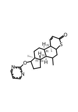 CC1CC2SC(=O)C=C[C@]2(C)[C@@H]2CC[C@]3(C)C(Oc4ncccn4)CC[C@H]3[C@H]12